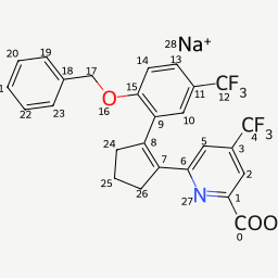 O=C([O-])c1cc(C(F)(F)F)cc(C2=C(c3cc(C(F)(F)F)ccc3OCc3ccccc3)CCC2)n1.[Na+]